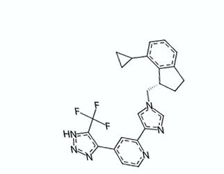 FC(F)(F)c1[nH]nnc1-c1ccnc(-c2cn(C[C@H]3CCc4cccc(C5CC5)c43)cn2)c1